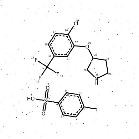 Cc1ccc(S(=O)(=O)O)cc1.FC(F)(F)c1ccc(Cl)c(OC2CCNC2)c1